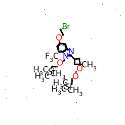 CC1(OCOCC[Si](C)(C)C)CC(c2nc3cc(OCCBr)cc(C(F)(F)F)c3n2COCC[Si](C)(C)C)C1